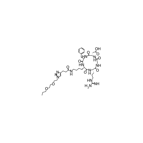 CCCOCCOCCn1cc(CCC(=O)NCCCC[C@H]2NC(=O)[C@@H](Cc3ccccc3)NC(=O)[C@H](CC(=O)O)NC(=O)CNC(=O)[C@H](CCCNC(=N)N)NC2=O)nn1